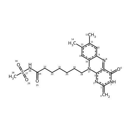 C=c1nc2c(c(=O)[nH]1)=Nc1cc(C)c(C)cc1N2CCCCCCC(=O)NS(C)(=O)=O